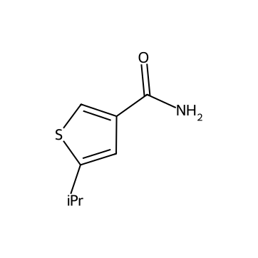 CC(C)c1cc(C(N)=O)cs1